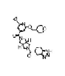 O=C(c1cc(OCC2CCOCC2)nc(C2CC2)c1)N1C[C@@H]2CN(C(=O)[C@@H]3CCc4[nH]nnc4C3)C[C@H]2C1